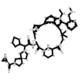 CCn1c(-c2cccnc2[C@H](C)OC)c2c3cc(ccc31)-c1csc(n1)C[C@H](NC(=O)C(C1CCCC1)N1CC[C@]3(CCN(C(=O)[C@H]4CN4)C3)C1)C(=O)N1CCC[C@H](N1)C(=O)OCC(C)(C)C2